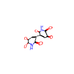 O=C1C=C(C2=CC(=O)C(=O)NC2=O)C(=O)NC1=O